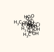 CC(C)C[C@H](NP(=O)(O)O[C@H]1O[C@H](C)[C@@H](O)[C@H](O)[C@@H]1O)C(=O)N[C@@H](Cc1c[nH]c2ccccc12)C(=O)O